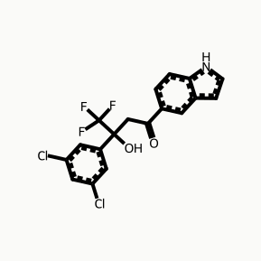 O=C(CC(O)(c1cc(Cl)cc(Cl)c1)C(F)(F)F)c1ccc2[nH]ccc2c1